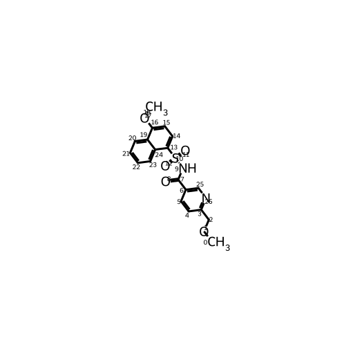 COCc1ccc(C(=O)NS(=O)(=O)c2ccc(OC)c3ccccc23)cn1